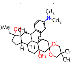 COC[C@]1(O)CC[C@H]2[C@@H]3CCC4(O)CC5(CC[C@@]46Cc4cc(N(C)C)ccc4C(C[C@@]21C)C36)OCC(C)(C)CO5